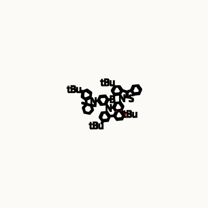 CC(C)(C)c1ccc(N2c3cc(N4c5ccc(C(C)(C)C)cc5C5(C)CCCCC45C)ccc3B3c4c2cc(C(C)(C)C)cc4-n2c4sc5ccccc5c4c4cc(C(C)(C)C)cc3c42)c(-c2ccccc2)c1